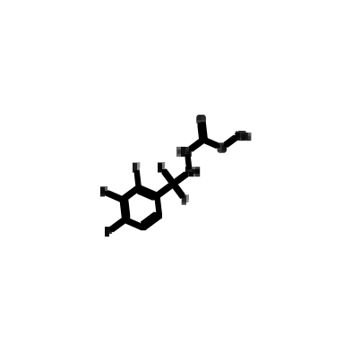 CC(C)(C)OC(=O)NNC(F)(F)c1ccc(F)c(F)c1F